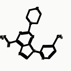 Cc1ccnc(-n2cnc3c(NN)nc(N4CCOCC4)nc32)c1